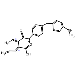 C=C/C=C(C(=O)O)\C(=C/C)C(=O)Nc1ccc(Cc2ccc(NC)cc2)cc1